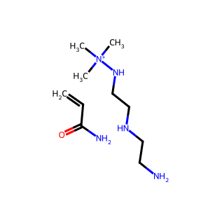 C=CC(N)=O.C[N+](C)(C)NCCNCCN